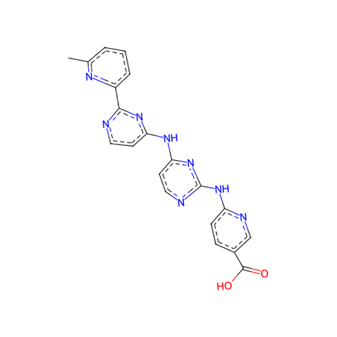 Cc1cccc(-c2nccc(Nc3ccnc(Nc4ccc(C(=O)O)cn4)n3)n2)n1